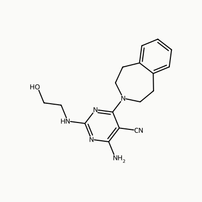 N#Cc1c(N)nc(NCCO)nc1N1CCc2ccccc2CC1